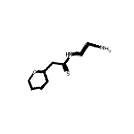 NCCNC(=S)CC1CCCCO1